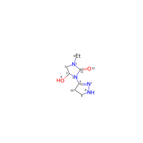 CCN1CC(O)N(C2=NNCC2)C1=O